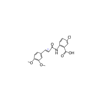 COc1ccc(/C=C/C(=O)Nc2ccc(Cl)cc2C(=O)O)cc1OC